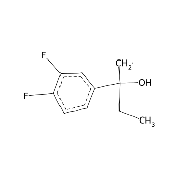 [CH2]C(O)(CC)c1ccc(F)c(F)c1